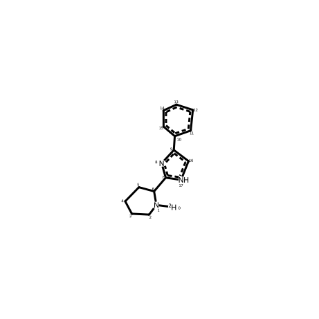 [2H]N1CCCCC1c1nc(-c2ccccc2)c[nH]1